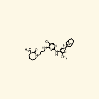 Cc1nn(C2CC3CCC(C2)N3C)cc1Nc1ncc(Cl)c(NCCCN2CCCCN(C)C2=O)n1